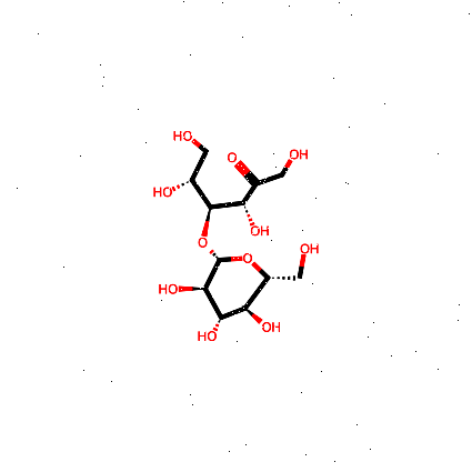 O=C(CO)[C@H](O)[C@@H](O[C@@H]1O[C@H](CO)[C@@H](O)[C@H](O)[C@H]1O)[C@H](O)CO